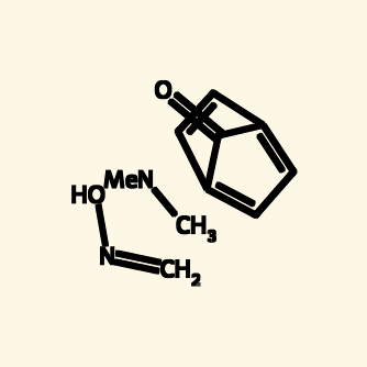 C=NO.CNC.O=C1C2=CC=C1C=C2